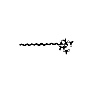 CCCCCCCCC=CCCCCCCCC(=O)N(C(C)(OC(C)=O)C(C)C)C(C)(OC(C)=O)C(C)C